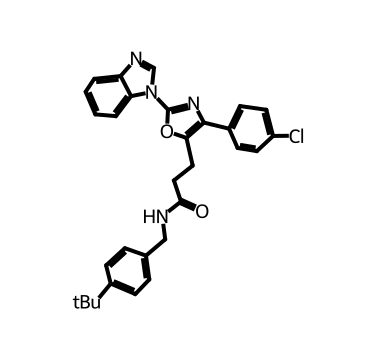 CC(C)(C)c1ccc(CNC(=O)CCc2oc(-n3cnc4ccccc43)nc2-c2ccc(Cl)cc2)cc1